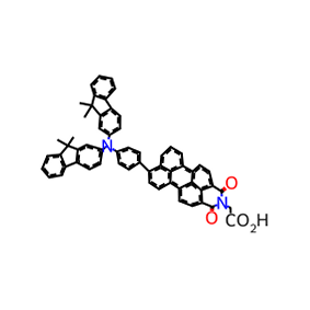 CC1(C)c2ccccc2-c2ccc(N(c3ccc(-c4ccc5c6ccc7c8c(ccc(c9cccc4c95)c86)C(=O)N(CC(=O)O)C7=O)cc3)c3ccc4c(c3)C(C)(C)c3ccccc3-4)cc21